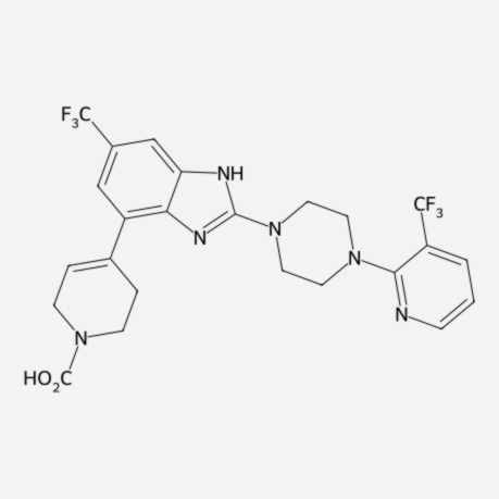 O=C(O)N1CC=C(c2cc(C(F)(F)F)cc3[nH]c(N4CCN(c5ncccc5C(F)(F)F)CC4)nc23)CC1